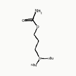 CCCCN(CCCC)CCCOC(N)=O